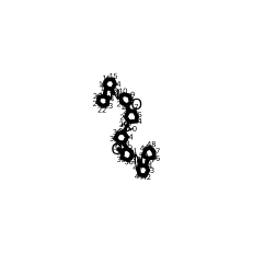 CS(C)(c1ccc2oc3ccc(-n4c5ccccc5c5ccccc54)cc3c2c1)c1ccc2oc3ccc(-n4c5ccccc5c5ccccc54)cc3c2c1